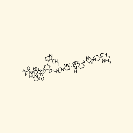 Cc1ncsc1-c1ccc(CNC(=O)[C@@H]2CCCN2C(=O)[C@@H](NC(=O)C2(F)CC2)C(C)(C)C)c(OCCN2CCN(c3ccc(C(=O)Nc4cccc(Sc5cnc(N6CCC(C)(CN)CC6)cn5)c4Cl)nn3)CC2)c1